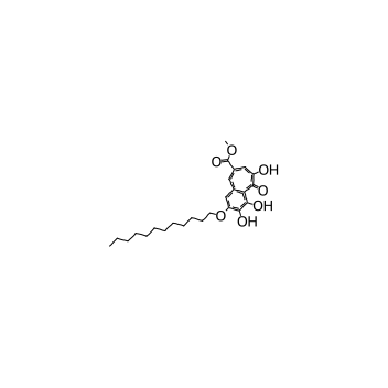 CCCCCCCCCCCCOc1cc2cc(C(=O)OC)cc(O)c(=O)c2c(O)c1O